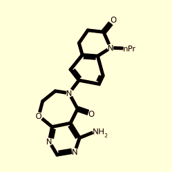 CCCN1C(=O)CCc2cc(N3CCOc4ncnc(N)c4C3=O)ccc21